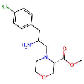 COC(=O)[C@@H]1COCCN1CC(N)Cc1ccc(Cl)cc1